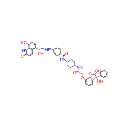 O=C(COc1cccc([C@](O)(C(=O)O)c2ccccc2)c1)NC1CCC(NC(=O)c2ccc(CNC[C@H](O)c3ccc(O)c4[nH]c(=O)ccc34)cc2)CC1